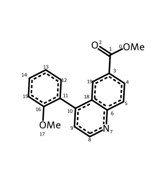 COC(=O)c1ccc2nccc(-c3ccccc3OC)c2c1